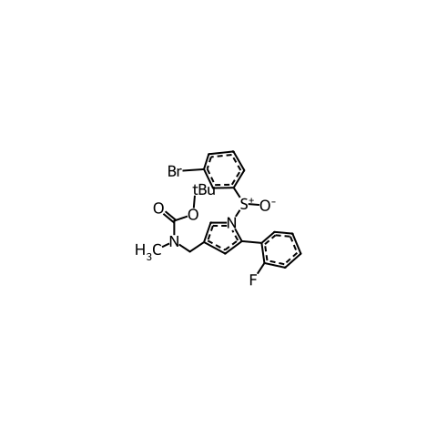 CN(Cc1cc(-c2ccccc2F)n([S+]([O-])c2cccc(Br)c2)c1)C(=O)OC(C)(C)C